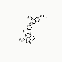 COc1ccc(CN[C@H]2CC[C@@H](Nc3nc4c(c(N(C)C)n3)CCCC4)CC2)c(OC)c1